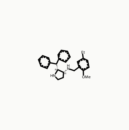 CCc1ccc(OC)c(CN[C@@H]2CCN[C@@H]2C(c2ccccc2)c2ccccc2)c1